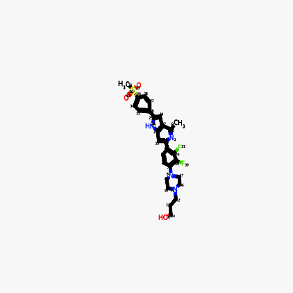 Cc1nc(-c2ccc(N3CCN(CCCO)CC3)c(F)c2F)cc2[nH]c(-c3ccc(S(C)(=O)=O)cc3)cc12